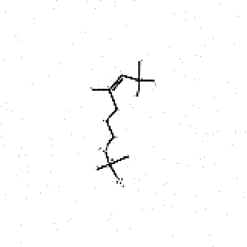 C/C(=C/C(C)(C)C)CCCO[C](C)(C)[W]